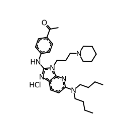 CCCCN(CCCC)c1ccc2nc(Nc3ccc(C(C)=O)cc3)n(CCCN3CCCCC3)c2n1.Cl